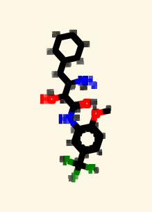 COc1ccc(C(F)(F)F)cc1NC(=O)C(O)[C@H](N)CC1CCCCC1